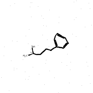 C[C@@H]([SeH])CCCc1ccccc1